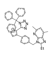 CCc1nc2c(C)cc(C)nc2n1Cc1ccc(-c2ccoc2-c2nnnn2C(c2ccccc2)(c2ccccc2)c2ccccc2)cc1